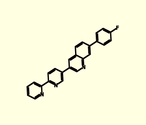 Fc1ccc(-c2ccc3cc(-c4ccc(-c5ccccn5)nc4)cnc3c2)cc1